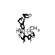 CC(C)N1CCOc2c(F)cc(-c3nc(Nc4ccc5c(c4)CCN(C4CCOC4)C5)ncc3F)cc21